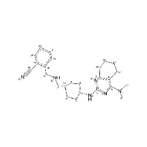 CN(C)c1nc(NC2CCC(CNCc3ccccc3C#N)CC2)nc2c1CCCC2